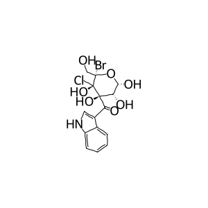 O=C(c1c[nH]c2ccccc12)[C@@]1(O)[C@@H](O)[C@@H](O)O[C@](Br)(CO)[C@@]1(O)Cl